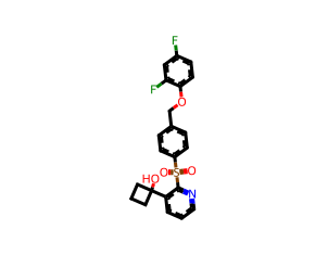 O=S(=O)(c1ccc(COc2ccc(F)cc2F)cc1)c1ncccc1C1(O)CCC1